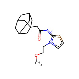 COCCn1ccs/c1=N/C(=O)CC12CC3CC(CC(C3)C1)C2